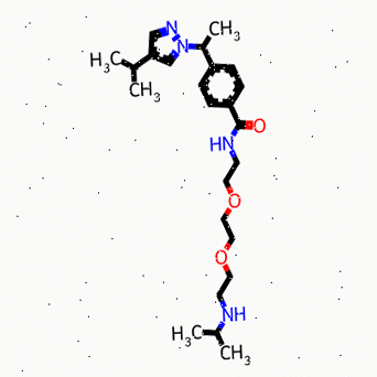 CC(C)NCCOCCOCCNC(=O)c1ccc(C(C)n2cc(C(C)C)cn2)cc1